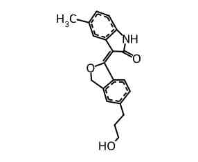 Cc1ccc2c(c1)C(=C1OCc3cc(CCCO)ccc31)C(=O)N2